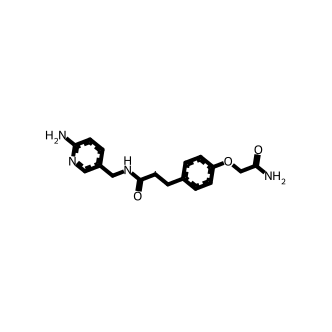 NC(=O)COc1ccc(C[CH]C(=O)NCc2ccc(N)nc2)cc1